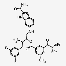 CCCN(CCC)C(=O)c1cc(C)cc(C(=O)OC(CNc2ccc3cc(C(N)=O)[nH]c3c2)C(N)Cc2cc(F)cc(F)c2)c1